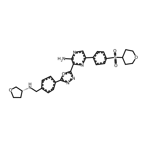 Nc1ncc(-c2ccc(S(=O)(=O)C3CCOCC3)cc2)nc1-c1nnc(-c2ccc(CN[C@@H]3CCOC3)cc2)o1